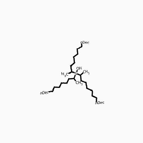 CCCCCCCCCCCCCCCCC(C)[Si](O)(C(C)CCCCCCCCCCCCCCCC)C(C)CCCCCCCCCCCCCCCC